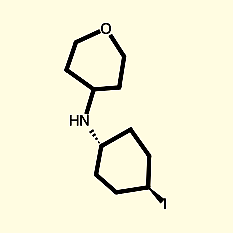 I[C@H]1CC[C@H](NC2CCOCC2)CC1